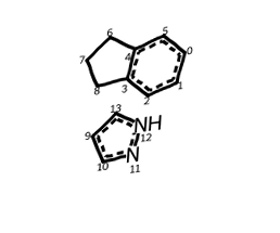 c1ccc2c(c1)CCC2.c1cn[nH]c1